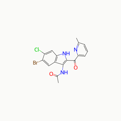 CC(=O)Nc1c(C(=O)c2cccc(C)n2)[nH]c2cc(Cl)c(Br)cc12